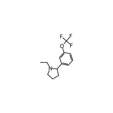 CCN1CCCC1c1cccc(OC(F)(F)F)c1